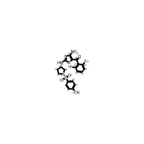 N#Cc1ccc(S(=O)(=O)N2CC[C@H](Nc3nc(N)c(C(=O)c4c(F)cccc4F)s3)C2)cc1